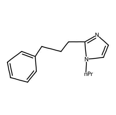 CCCn1ccnc1CCCc1ccccc1